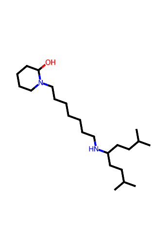 CC(C)CCC(CCC(C)C)NCCCCCCCN1CCCCC1O